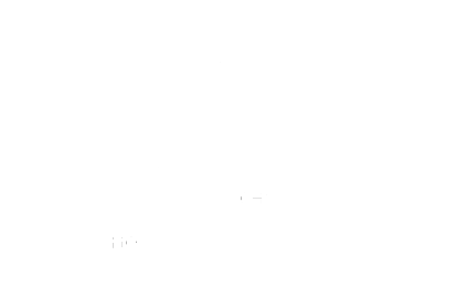 O=Cc1c2ccccc2cc2cccc(CO)c12